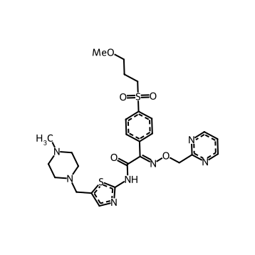 COCCCS(=O)(=O)c1ccc(/C(=N\OCc2ncccn2)C(=O)Nc2ncc(CN3CCN(C)CC3)s2)cc1